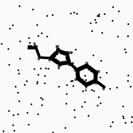 CNCc1nc(-c2ccc(C)cc2)no1